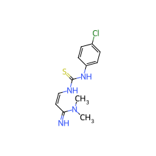 CN(C)C(=N)/C=C\NC(=S)Nc1ccc(Cl)cc1